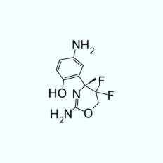 C[C@]1(c2cc(N)ccc2O)N=C(N)OCC1(F)F